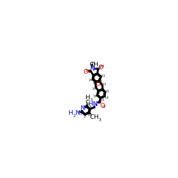 Cc1cc(N)nc(C)c1CNC(=O)c1ccc2c(c1)C1OC2c2cc3c(cc21)C(=O)N(C)C3=O